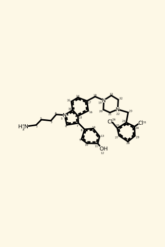 NCCCCn1cc(-c2ccc(O)cc2)c2cc(CN3CCN(Cc4c(Cl)cccc4Cl)CC3)ccc21